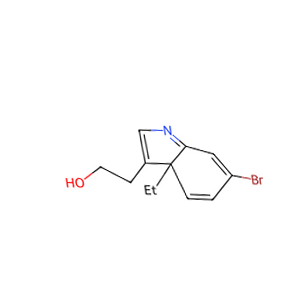 CCC12C=CC(Br)=CC1=NC=C2CCO